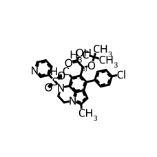 Cc1c([C@H](OC(C)(C)C)C(=O)O)c(-c2ccc(Cl)cc2)c2cc(C)n3c2c1N(S(=O)(=O)c1cccnc1)CC3